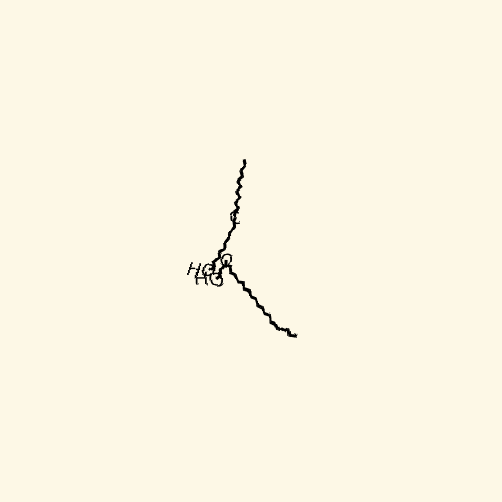 CCCCCCCCCCCCCCCCCCCC(CCO)OC(CCO)CCCCCCCCCCCCCCCCCCC